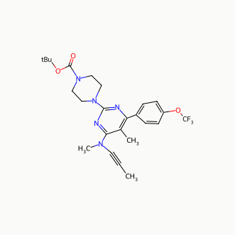 CC#CN(C)c1nc(N2CCN(C(=O)OC(C)(C)C)CC2)nc(-c2ccc(OC(F)(F)F)cc2)c1C